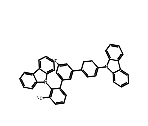 N#Cc1cc(C2=CC=C(n3c4ccccc4c4ccccc43)CC2)cc(-c2cccc(C#N)c2-n2c3ccccc3c3ccccc32)c1